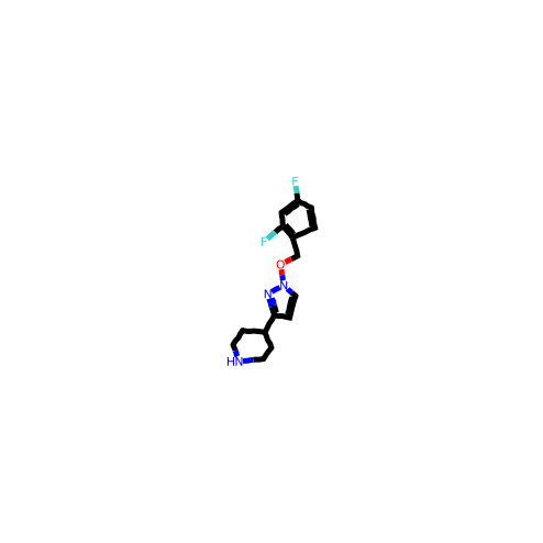 Fc1ccc(COn2ccc(C3CCNCC3)n2)c(F)c1